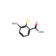 COC(=O)c1cccc(OC)c1S